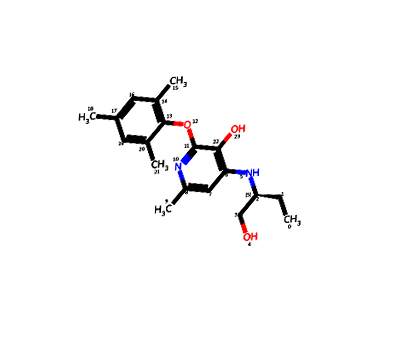 CC[C@@H](CO)Nc1cc(C)nc(Oc2c(C)cc(C)cc2C)c1O